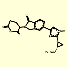 COC[C@H]1C[C@@H]1c1nc(-c2ccc3c(c2)CN(C2CCC(=O)NC2=O)C3=O)cn1C